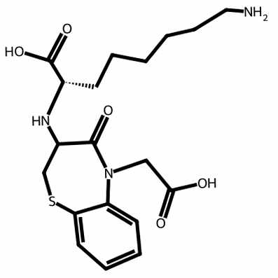 NCCCCCC[C@H](NC1CSc2ccccc2N(CC(=O)O)C1=O)C(=O)O